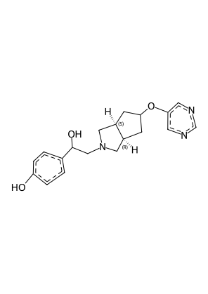 Oc1ccc(C(O)CN2C[C@H]3CC(Oc4cncnc4)C[C@H]3C2)cc1